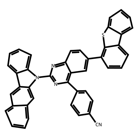 N#Cc1ccc(-c2nc(-n3c4ccccc4c4cc5ccccc5cc43)nc3ccc(-c4cccc5c4sc4ccccc45)cc23)cc1